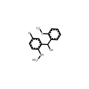 O=C(O)Nc1ccc(Cl)cc1C(O)c1ccccc1OC(F)(F)F